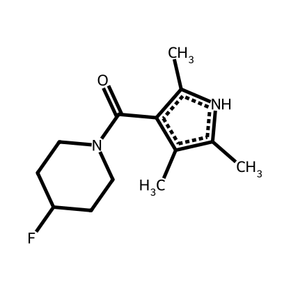 Cc1[nH]c(C)c(C(=O)N2CCC(F)CC2)c1C